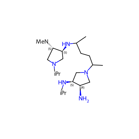 CN[C@H]1CN(C(C)C)C[C@@H]1NC(C)CCC(C)N1C[C@@H](N)[C@@H](NC(C)C)C1